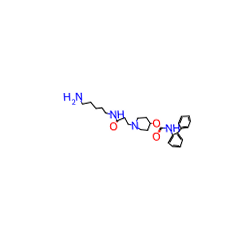 NCCCCCNC(=O)CCN1CCC(OC(=O)Nc2ccccc2-c2ccccc2)CC1